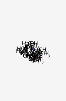 C/C=C(\C)C(=O)O[C@H]1C[C@@H](OC(C)=O)[C@@]2(C(=O)OC)CO[C@H]3[C@@H](O)[C@@](C)([C@]45O[C@@]4(C)[C@H]4C[C@@H]5O[C@@H]5OC=C[C@@]54O)[C@H]4[C@]1(CO[C@]4(O)C(=O)OC)[C@@H]32.C[C@H]([C@H](O)CCC(C)(C)O)[C@H]1CC[C@@]2(O)C3=CC(=O)[C@@H]4C[C@@H](O)[C@@H](O)C[C@]4(C)[C@H]3CC[C@]12C